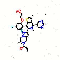 C=CC(=O)N1Cc2cc(-c3nc(-c4cnc(C)nc4)c4ccsc4c3-c3c(F)cc(F)cc3OCCO)nn2CC1C